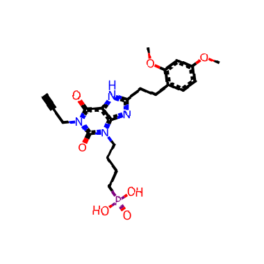 C#CCn1c(=O)c2[nH]c(CCc3ccc(OC)cc3OC)nc2n(CCCCP(=O)(O)O)c1=O